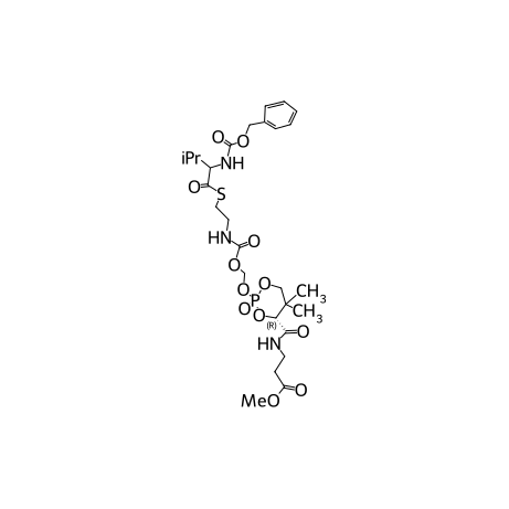 COC(=O)CCNC(=O)[C@@H]1OP(=O)(OCOC(=O)NCCSC(=O)C(NC(=O)OCc2ccccc2)C(C)C)OCC1(C)C